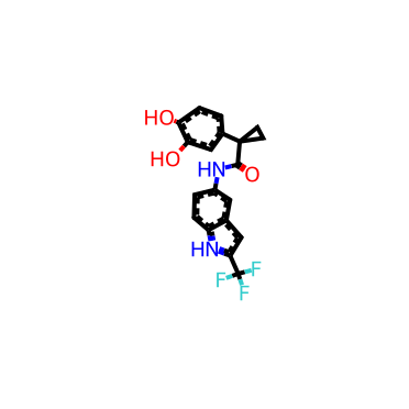 O=C(Nc1ccc2[nH]c(C(F)(F)F)cc2c1)C1(c2ccc(O)c(O)c2)CC1